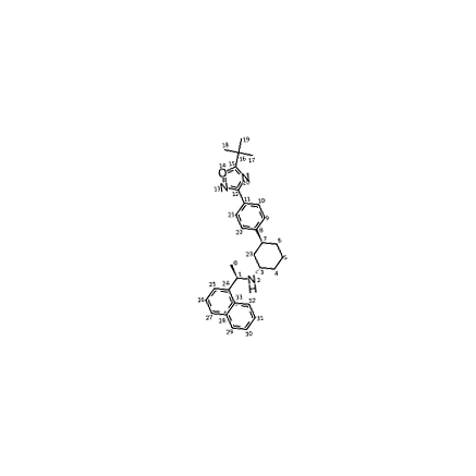 C[C@@H](N[C@H]1CCC[C@H](c2ccc(-c3noc(C(C)(C)C)n3)cc2)C1)c1cccc2ccccc12